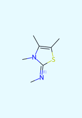 C/N=c1/sc(C)c(C)n1C